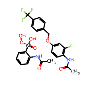 CC(=O)Nc1ccc(OCc2ccc(C(F)(F)F)cc2)cc1F.CC(=O)Nc1ccccc1[As](=O)(O)OO